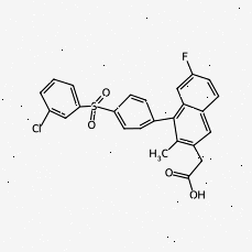 Cc1c(CC(=O)O)cc2ccc(F)cc2c1-c1ccc(S(=O)(=O)c2cccc(Cl)c2)cc1